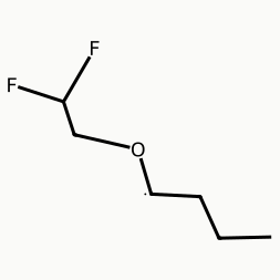 CCC[CH]OCC(F)F